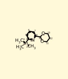 [CH3][Sn]([CH3])([CH3])[c]1cccc(C2OCCCO2)n1